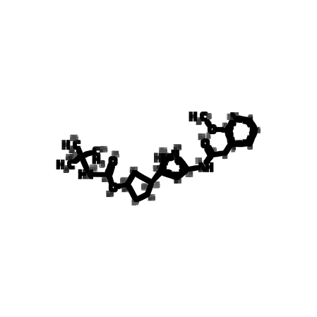 COc1ncccc1CC(=O)Nc1cc([C@H]2CC[C@@H](OC(=O)NC(C)(C)C)C2)[nH]n1